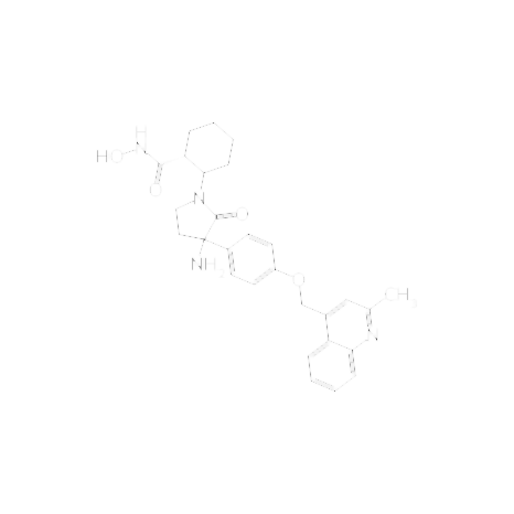 Cc1cc(COc2ccc(C3(N)CCN(C4CCCC[C@H]4C(=O)NO)C3=O)cc2)c2ccccc2n1